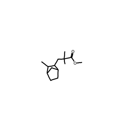 COC(=O)C(C)(C)CC1C2CCC(C2)C1C